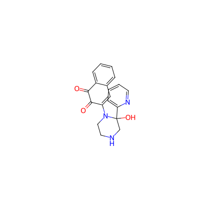 O=C1C(=O)c2ccccc2C=C1N1CCNCC1(O)c1ccccn1